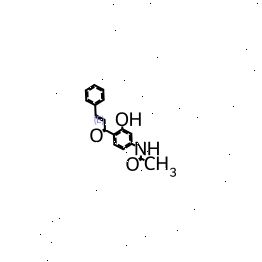 CC(=O)Nc1ccc(C(=O)/C=C/c2ccccc2)c(O)c1